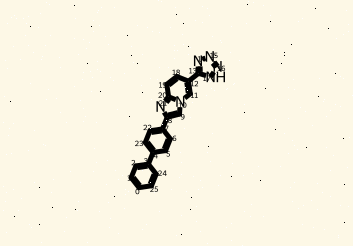 c1ccc(-c2ccc(-c3cn4cc(-c5nnn[nH]5)ccc4n3)cc2)cc1